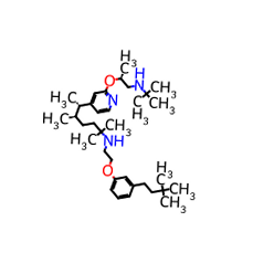 C[C@H](CCC(C)(C)NCCOc1cccc(CCC(C)(C)C)c1)[C@H](C)c1ccnc(O[C@@H](C)CNC(C)(C)C)c1